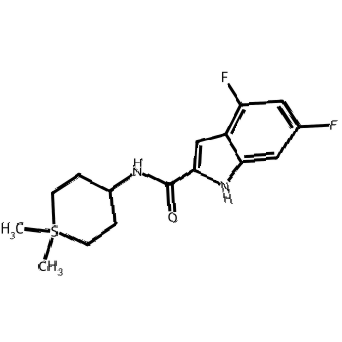 CS1(C)CCC(NC(=O)c2cc3c(F)cc(F)cc3[nH]2)CC1